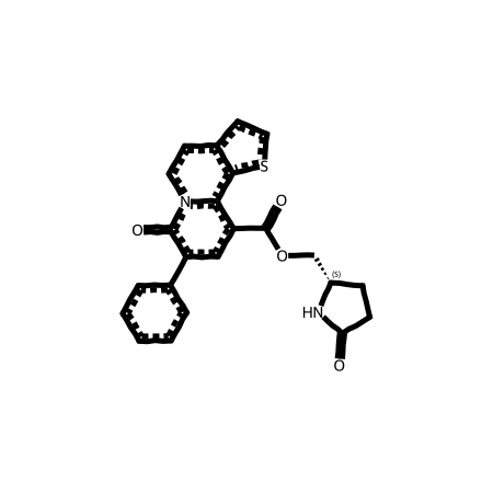 O=C1CC[C@@H](COC(=O)c2cc(-c3ccccc3)c(=O)n3ccc4ccsc4c23)N1